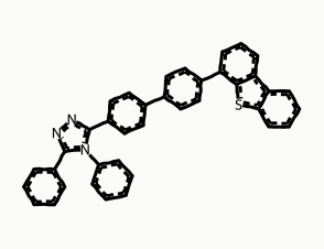 c1ccc(-c2nnc(-c3ccc(-c4ccc(-c5cccc6c5sc5ccccc56)cc4)cc3)n2-c2ccccc2)cc1